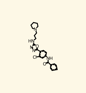 O=C(Nc1ccc(-c2nnc(NCCCN3CCCCC3)o2)c(Cl)c1)c1ccccc1